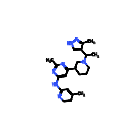 Cc1ccnc(Nc2cc(C3CCCN(C(C)c4c[nH]nc4C)C3)nc(C)n2)c1